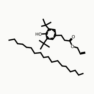 C=CCOC(=O)CCc1cc(C(C)(C)C)c(O)c(C(C)(C)C)c1.CCCCCCCCCCCCCCCCCC